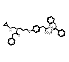 O=C(Oc1ccccc1NC(Cc1ccc(OCCCN(CNC2CC2)C(=O)Cc2ccccc2)cc1)C(=O)O)c1ccccc1